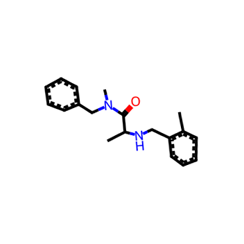 Cc1ccccc1CNC(C)C(=O)N(C)Cc1ccccc1